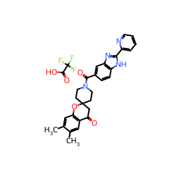 Cc1cc2c(cc1C)C(=O)CC1(CCN(C(=O)c3ccc4[nH]c(-c5ccccn5)nc4c3)CC1)O2.O=C(O)C(F)(F)F